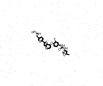 CCCNCc1ccc(-c2cc3nccc(Oc4ccc(NC(=O)Nc5cc(C)on5)cc4F)c3s2)nc1